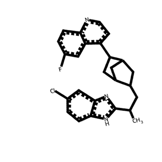 CC(CC1CC2CC1CC2c1ccnc2ccc(F)cc12)c1nc2cc(Cl)ccc2[nH]1